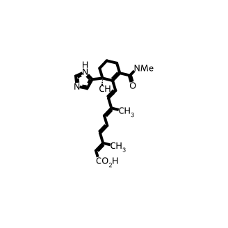 CNC(=O)C1=C(/C=C/C(C)=C/C=C/C(C)=C/C(=O)O)[C@@](C)(c2cnc[nH]2)CCC1